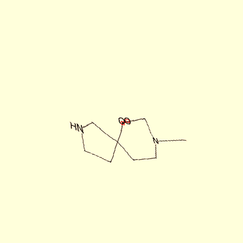 CN1CCC2(CCNC2)C2(C1)OCCO2